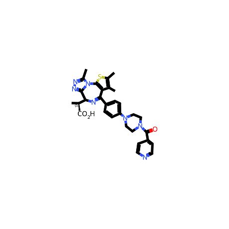 Cc1sc2c(c1C)C(c1ccc(N3CCN(C(=O)c4ccncc4)CC3)cc1)=NC([C@H](C)C(=O)O)c1nnc(C)n1-2